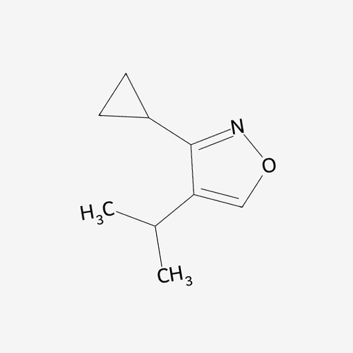 CC(C)c1conc1C1CC1